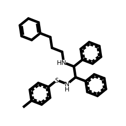 Cc1ccc(SNC(c2ccccc2)C(NCCCC2=CCC=CC2)c2ccccc2)cc1